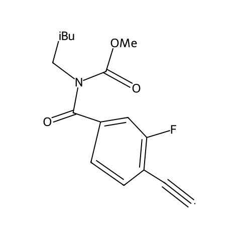 [C]#Cc1ccc(C(=O)N(CC(C)CC)C(=O)OC)cc1F